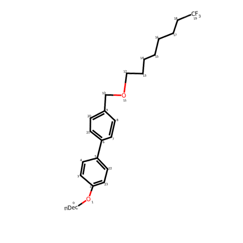 CCCCCCCCCCOc1ccc(-c2ccc(COCCCCCCCC(F)(F)F)cc2)cc1